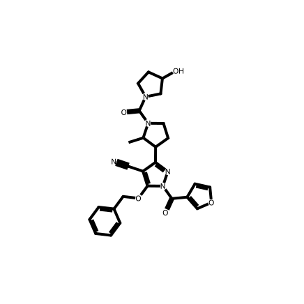 CC1C(c2nn(C(=O)c3ccoc3)c(OCc3ccccc3)c2C#N)CCN1C(=O)N1CCC(O)C1